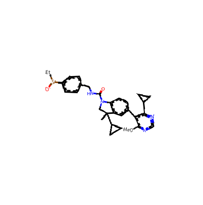 CC[S+]([O-])c1ccc(CNC(=O)N2CC(C)(C3CC3)c3cc(-c4c(OC)ncnc4C4CC4)ccc32)cc1